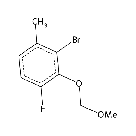 COCOc1c(F)ccc(C)c1Br